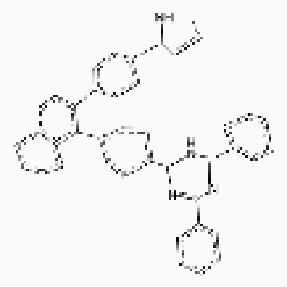 C/C=C\C(=N)c1ccc(-c2ccc3ccccc3c2-c2ccc(C3N=C(c4ccccc4)N=C(c4ccccc4)N3)cc2)cc1